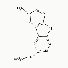 CCOC(=O)Oc1cc2c(cn1)[nH]c1ccc([N+](=O)[O-])cc12